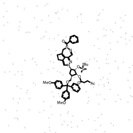 COc1ccc(C(OC[C@H]2C[C@@H](N3C=C4CCC5=C4C(=N3)C=NN(C(=O)c3ccccc3)C5)[C@H](O[Si](C)(C)C(C)(C)C)[C@@H]2OC(=O)CCC(C)=O)(c2ccccc2)c2ccc(OC)cc2)cc1